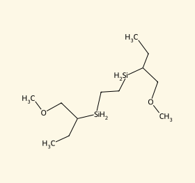 CCC(COC)[SiH2]CC[SiH2]C(CC)COC